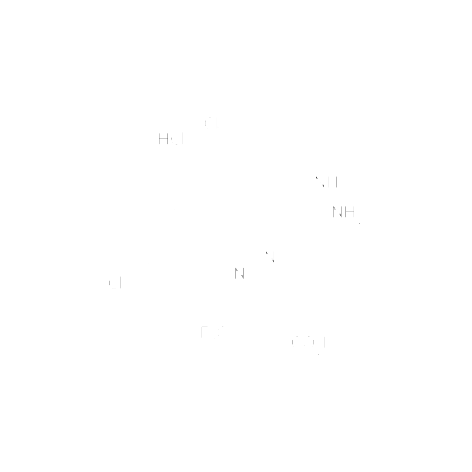 Cl.NNc1cccc(Cl)c1.O=C(O)c1cnn(-c2cccc(Cl)c2)c1C(F)(F)F